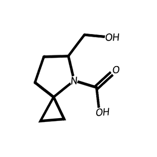 O=C(O)N1C(CO)CCC12CC2